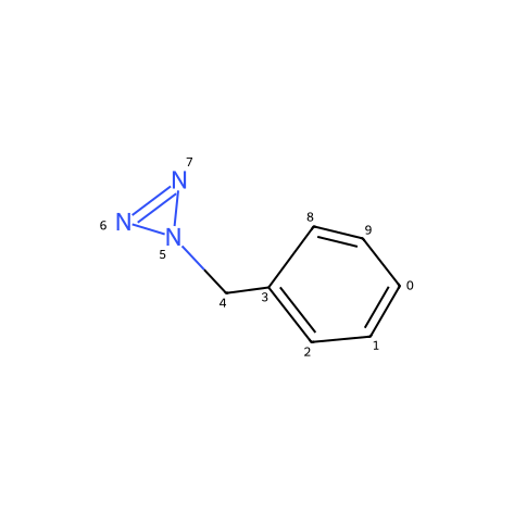 c1ccc(CN2N=N2)cc1